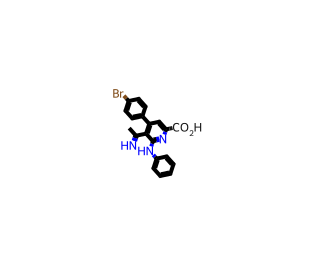 CC(=N)c1c(-c2ccc(Br)cc2)cc(C(=O)O)nc1Nc1ccccc1